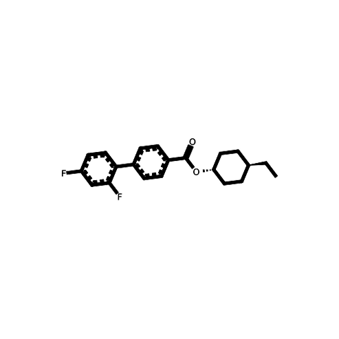 CC[C@H]1CC[C@H](OC(=O)c2ccc(-c3ccc(F)cc3F)cc2)CC1